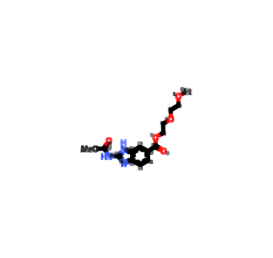 CCOCCOCCOC(=O)c1ccc2nc(NC(=O)OC)[nH]c2c1